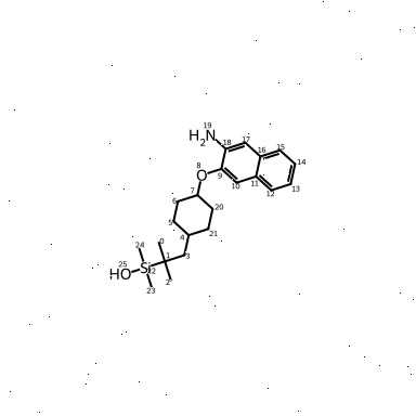 CC(C)(CC1CCC(Oc2cc3ccccc3cc2N)CC1)[Si](C)(C)O